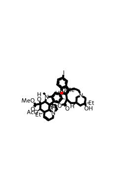 CC[C@]1(O)C[C@@H]2CN(CCc3c([nH]c4ccc(I)cc34)[C@@](C(=O)OC)(c3cc4c(cc3OC)N(C)C3C(O)(C(=O)OC)[C@H](OC(C)=O)[C@]5(CC)C=CCN6CC[C@]43[C@@H]65)C2)C1